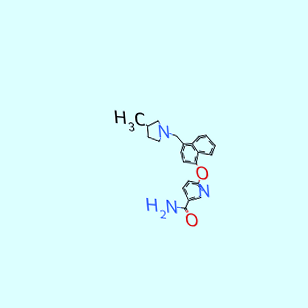 CC1CCN(Cc2ccc(Oc3ccc(C(N)=O)cn3)c3ccccc23)C1